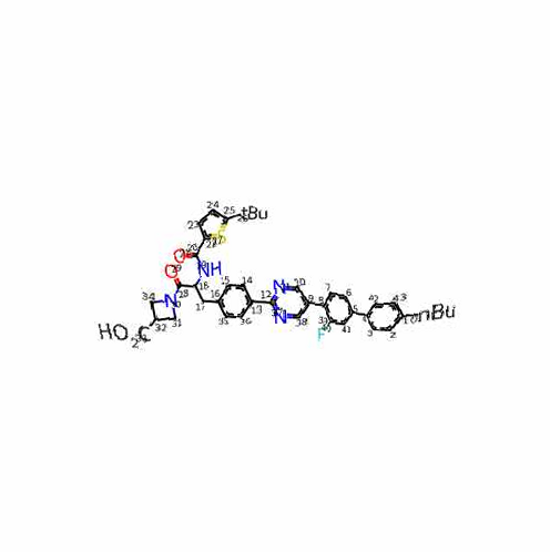 CCCCc1ccc(-c2ccc(-c3cnc(-c4ccc(CC(NC(=O)c5ccc(C(C)(C)C)s5)C(=O)N5CC(C(=O)O)C5)cc4)nc3)c(F)c2)cc1